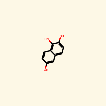 Oc1ccc2c(O)c(O)ccc2c1